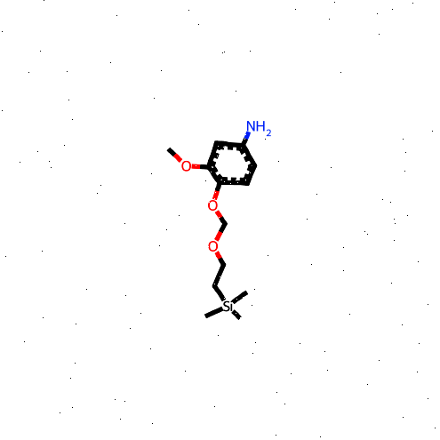 COc1cc(N)ccc1OCOCC[Si](C)(C)C